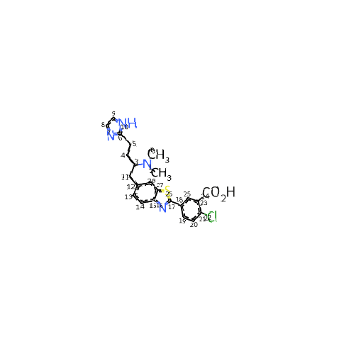 CN(C)C(CCc1ncc[nH]1)Cc1ccc2nc(-c3ccc(Cl)c(C(=O)O)c3)sc2c1